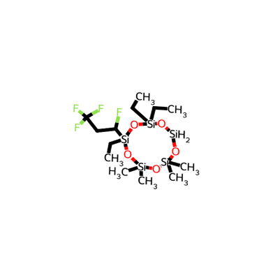 CC[Si]1(CC)O[SiH2]O[Si](C)(C)O[Si](C)(C)O[Si](CC)(C(F)CC(F)(F)F)O1